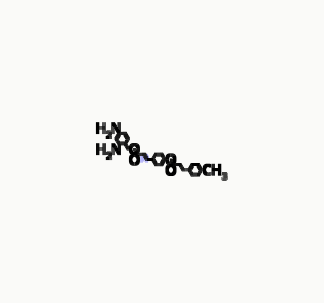 Cc1ccc(CCC(=O)Oc2ccc(/C=C/C(=O)OCc3ccc(N)cc3N)cc2)cc1